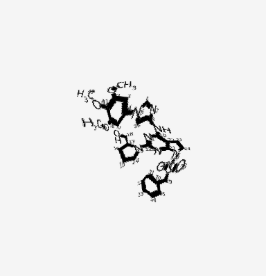 COc1cc(-n2cnc(Nc3nc(N4CCC[C@H]4CO)nc4c3ccn4S(=O)(=O)Cc3ccccc3)c2)cc(OC)c1OC